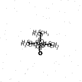 CC(C)(C)OCCOC(=O)CC(CC(=O)OCCOC(C)(C)C)(CC(=O)OCCOC(C)(C)C)NC(=O)OCc1ccccc1